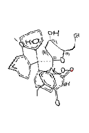 COc1ccccc1C(c1ccccc1)(c1ccccc1OC)[C@@]1(n2cc(I)c(=O)[nH]c2=O)O[C@H](CO)[C@@H](O)[C@H]1O